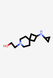 OCCN1CCC2(CC1)CC(NC1CC1)C2